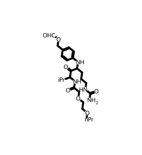 CCCOCCOCC(=O)NC(C(=O)C(CCCNC(N)=O)Nc1ccc(COC=O)cc1)C(C)C